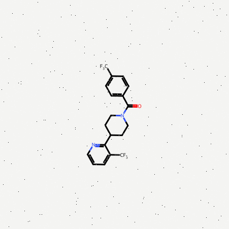 O=C(c1ccc(C(F)(F)F)cc1)N1CCC(c2ncccc2C(F)(F)F)CC1